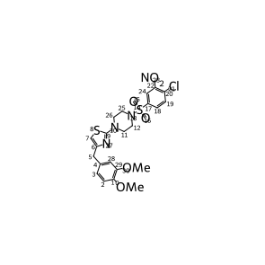 COc1ccc(Cc2csc(N3CCN(S(=O)(=O)c4ccc(Cl)c([N+](=O)[O-])c4)CC3)n2)cc1OC